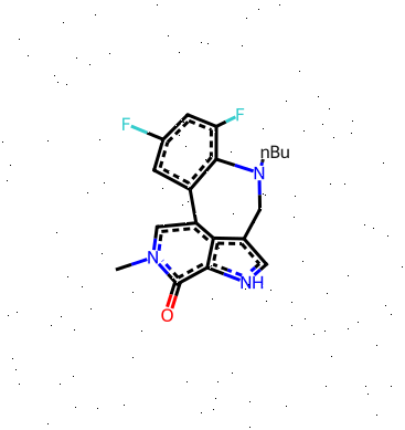 CCCCN1Cc2c[nH]c3c(=O)n(C)cc(c23)-c2cc(F)cc(F)c21